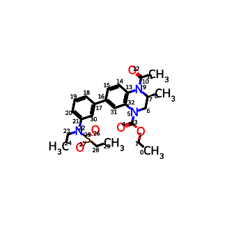 CCOC(=O)N1C[C@H](C)N(C(C)=O)c2ccc(-c3cccc(N(CC)S(=O)(=O)CC)c3)cc21